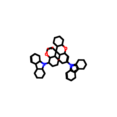 C1=Cc2c(c3c(n2C2=CC4OC5CCCCC5C5(C6C=CCCC6OC6C(N7C8CCC=CC8C8CCCCC87)CCCC65)C4CC2)CCCC3)CC1